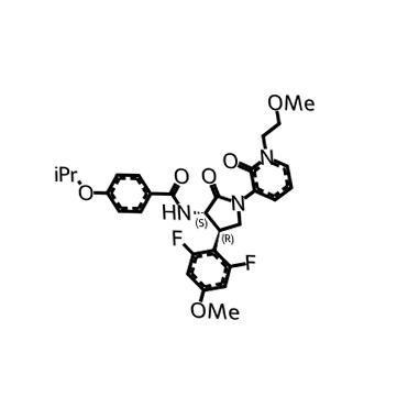 COCCn1cccc(N2C[C@@H](c3c(F)cc(OC)cc3F)[C@H](NC(=O)c3ccc(OC(C)C)cc3)C2=O)c1=O